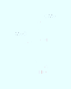 COCOc1c(C)c(O)c(C(=O)/C=C/c2ccc(OO)cc2)c(OC)c1C